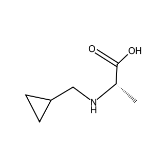 C[C@H](NCC1CC1)C(=O)O